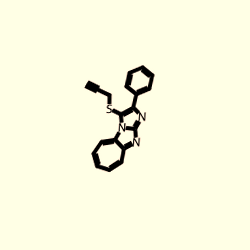 C#CCSc1c(-c2ccccc2)nc2nc3cccccc3n12